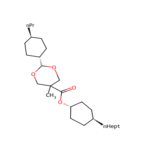 CCCCCCC[C@H]1CC[C@H](OC(=O)C2(C)COC([C@H]3CC[C@H](CCC)CC3)OC2)CC1